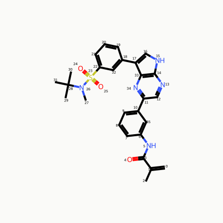 C=C(C)C(=O)Nc1cccc(-c2cnc3[nH]cc(-c4cccc(S(=O)(=O)N(C)C(C)(C)C)c4)c3n2)c1